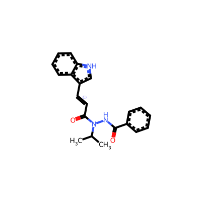 CC(C)N(NC(=O)c1ccccc1)C(=O)/C=C/c1c[nH]c2ccccc12